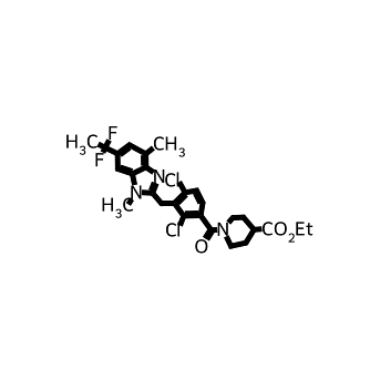 CCOC(=O)C1CCN(C(=O)c2ccc(Cl)c(Cc3nc4c(C)cc(C(C)(F)F)cc4n3C)c2Cl)CC1